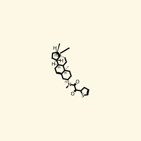 C[C@H]1[C@H]2CC[C@H]3[C@@H]4CC=C5C[C@@H](N(C)C(=O)C(=O)C6CC=CS6)CC[C@]5(C)C4CC[C@]23CN1C